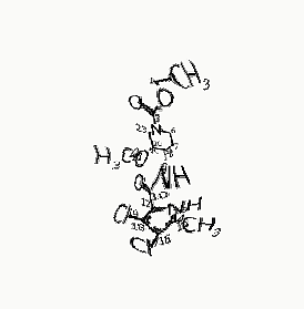 CCOC(=O)N1CC[C@H](NC(=O)c2[nH]c(C)c(Cl)c2Cl)[C@H](OC)C1